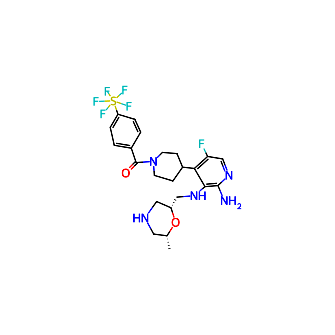 C[C@@H]1CNC[C@H](CNc2c(N)ncc(F)c2C2CCN(C(=O)c3ccc(S(F)(F)(F)(F)F)cc3)CC2)O1